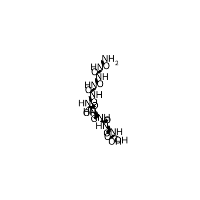 NCC(=O)NCC(=O)NCC(=O)NCC(=O)NCC(=O)N[C@@H](CO)C(=O)NCC(=O)NCC(=O)NCC(=O)N[C@@H](CO)C(=O)O